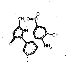 Cc1cc(=O)n(-c2ccccc2)[nH]1.Nc1ccc([N+](=O)[O-])cc1O